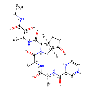 CCCC(NC(=O)C1[C@H]2CCC(=O)[C@H]2CN1C(=O)C(NC(=O)[C@H](NC(=O)c1cnccn1)C(C)C)C(C)C)C(=O)C(=O)NCC(=O)O